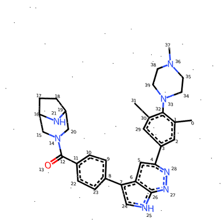 Cc1cc(-c2cc3c(-c4ccc(C(=O)N5CC6CCC(C5)N6)cc4)c[nH]c3nn2)cc(C)c1N1CCN(C)CC1